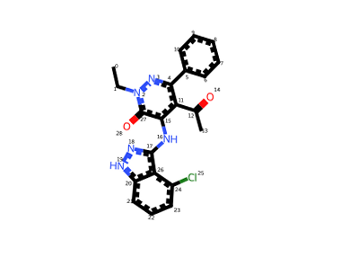 CCn1nc(-c2ccccc2)c(C(C)=O)c(Nc2n[nH]c3cccc(Cl)c23)c1=O